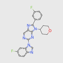 Fc1cccc(-c2nc3cnc(-n4cnc5ccc(F)cc54)nc3n2C2CCOCC2)c1